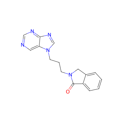 O=C1c2ccccc2CN1CCCn1cnc2ncncc21